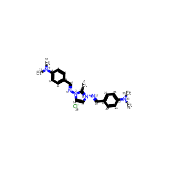 CCc1n(N=Cc2ccc(N(CC)CC)cc2)cc[n+]1N=Cc1ccc(N(CC)CC)cc1.[Cl-]